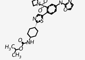 CC(C)OC(=O)N[C@H]1CC[C@H](c2ncc(-c3ccc(Nc4ncco4)cc3S(=O)(=O)N3CCC3)s2)CC1